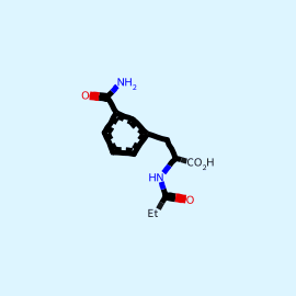 CCC(=O)NC(Cc1cccc(C(N)=O)c1)C(=O)O